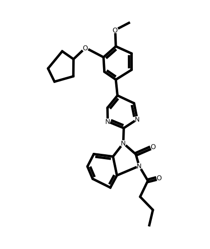 CCCC(=O)n1c(=O)n(-c2ncc(-c3ccc(OC)c(OC4CCCC4)c3)cn2)c2ccccc21